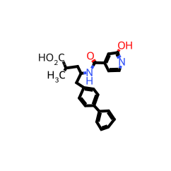 CC(CC(Cc1ccc(-c2ccccc2)cc1)NC(=O)c1ccnc(O)c1)C(=O)O